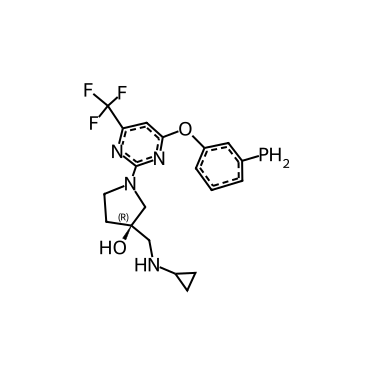 O[C@@]1(CNC2CC2)CCN(c2nc(Oc3cccc(P)c3)cc(C(F)(F)F)n2)C1